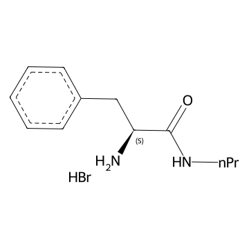 Br.CCCNC(=O)[C@@H](N)Cc1ccccc1